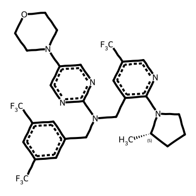 C[C@H]1CCCN1c1ncc(C(F)(F)F)cc1CN(Cc1cc(C(F)(F)F)cc(C(F)(F)F)c1)c1ncc(N2CCOCC2)cn1